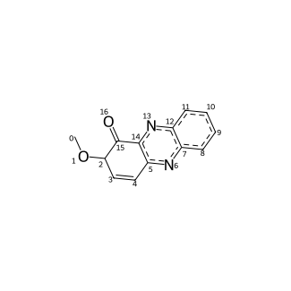 COC1C=Cc2nc3ccccc3nc2C1=O